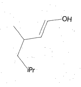 CC(C)CC(C)C=CO